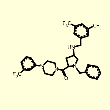 O=C(C1CC(NCc2cc(C(F)(F)F)cc(C(F)(F)F)c2)CN1Cc1ccccc1)N1CCN(c2cccc(C(F)(F)F)c2)CC1